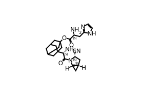 N#C[C@@H]1C[C@@H]2C[C@@H]2N1C(=O)[C@@H](N)C12CC3CC(CC(OC(=O)[C@@H](N)Cc4ncc[nH]4)(C3)C1)C2